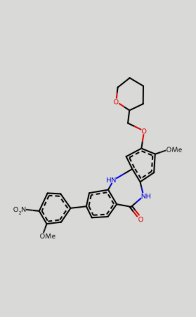 COc1cc2c(cc1OCC1CCCCO1)Nc1cc(-c3ccc([N+](=O)[O-])c(OC)c3)ccc1C(=O)N2